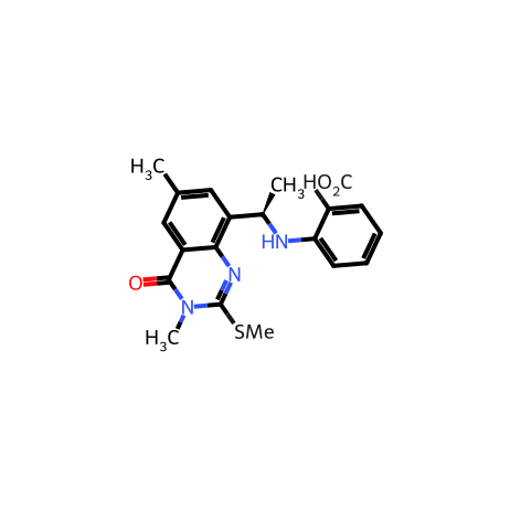 CSc1nc2c([C@@H](C)Nc3ccccc3C(=O)O)cc(C)cc2c(=O)n1C